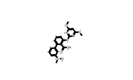 COc1cc(OC)nc(Oc2cccc(-c3cccc([S+](C)[O-])c3)c2C(=O)O)n1